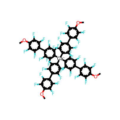 COc1c(F)c(F)c(-c2c(F)c(F)[c]([Ga-]([c]3c(F)c(F)c(-c4c(F)c(F)c(OC)c(F)c4F)c(F)c3F)([c]3c(F)c(F)c(-c4c(F)c(F)c(OC)c(F)c4F)c(F)c3F)[c]3c(F)c(F)c(-c4c(F)c(F)c(OC)c(F)c4F)c(F)c3F)c(F)c2F)c(F)c1F